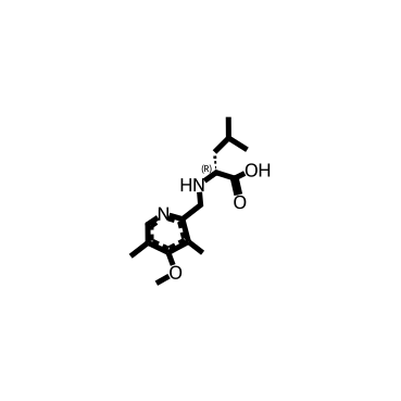 COc1c(C)cnc(CN[C@H](CC(C)C)C(=O)O)c1C